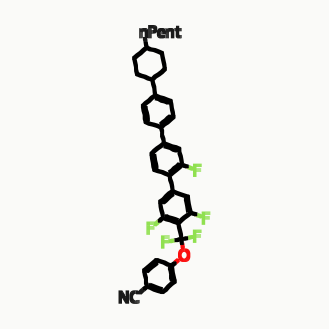 CCCCCC1CCC(c2ccc(-c3ccc(-c4cc(F)c(C(F)(F)Oc5ccc(C#N)cc5)c(F)c4)c(F)c3)cc2)CC1